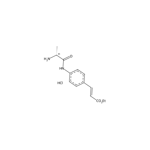 CCOC(=O)C=Cc1ccc(NC(=O)[C@@H](C)N)cc1.Cl